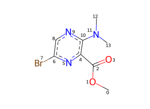 COC(=O)c1nc(Br)cnc1N(C)C